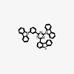 c1cc(-c2nc(-c3cccc4sc5ccccc5c34)nc(-n3c4ccccc4c4ccccc43)n2)cc(-n2c3ccccc3c3ccccc32)c1